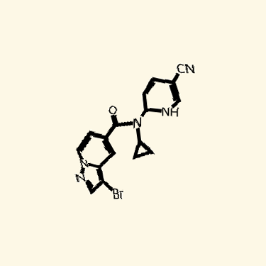 N#CC1=CNC(N(C(=O)c2ccn3ncc(Br)c3c2)C2CC2)C=C1